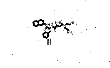 Cl.Cl.Cl.NCCN(CCN)C(=O)C[C@H](N)C(=O)N[C@@H](Cc1ccccc1)C(=O)Nc1ccc2ccccc2c1